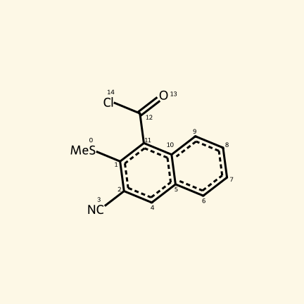 CSc1c(C#N)cc2ccccc2c1C(=O)Cl